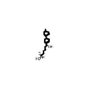 Cc1ccc(-c2ccc([C@H](O)CCCCC(=O)NO)cc2)cc1